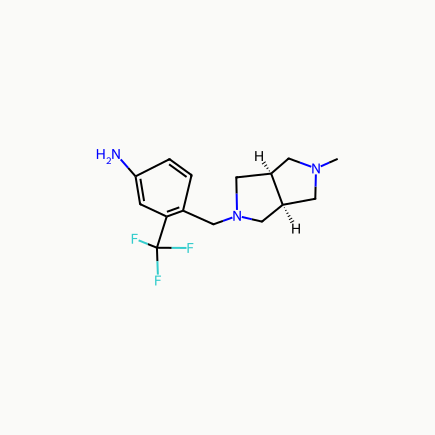 CN1C[C@@H]2CN(Cc3ccc(N)cc3C(F)(F)F)C[C@@H]2C1